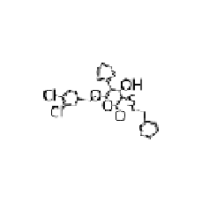 O=c1oc(OCc2ccc(Cl)c(Cl)c2)c(-c2ccccc2)c(O)c1SCCc1ccccc1